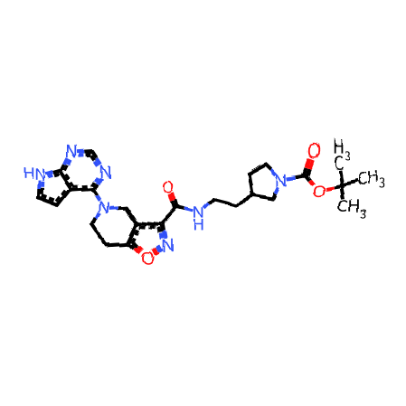 CC(C)(C)OC(=O)N1CCC(CCNC(=O)c2noc3c2CN(c2ncnc4[nH]ccc24)CC3)C1